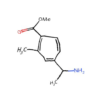 COC(=O)c1ccc(C(C)N)cc1C